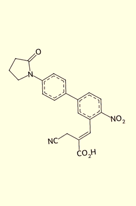 N#CCC(=Cc1cc(-c2ccc(N3CCCC3=O)cc2)ccc1[N+](=O)[O-])C(=O)O